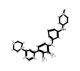 CN1CCC(Nc2cccc(Sc3ccc(-c4cc(N5CCOCC5)ncn4)c(C(F)(F)F)c3C(F)(F)F)c2)CC1